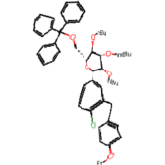 CCCCO[C@@H]1[C@@H](OCCCC)[C@H](c2ccc(Cl)c(Cc3ccc(OCC)cc3)c2)O[C@H](COC(c2ccccc2)(c2ccccc2)c2ccccc2)[C@H]1OCCCC